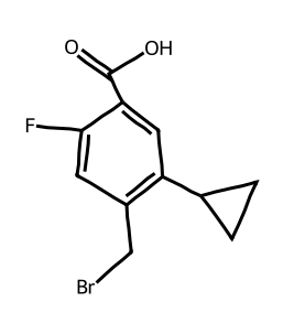 O=C(O)c1cc(C2CC2)c(CBr)cc1F